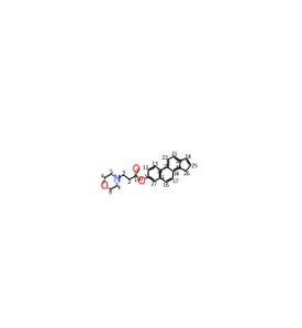 O=C(CCN1CCOCC1)Oc1ccc2c(ccc3c4c(ccc32)C=CC4)c1